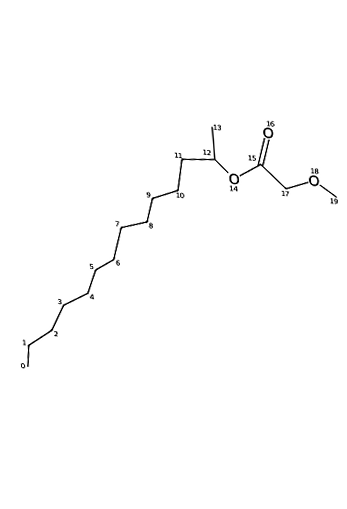 CCCCCCCCCCCCC(C)OC(=O)COC